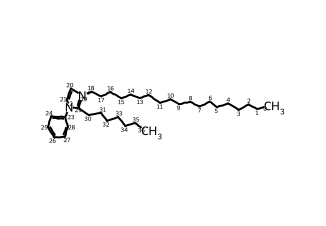 CCCCCCCCCCCCCCCCCCC[n+]1ccn(-c2ccccc2)c1CCCCCCC